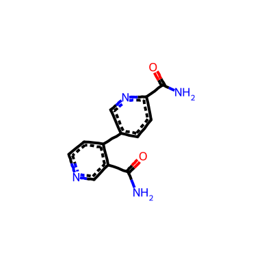 NC(=O)c1ccc(-c2ccncc2C(N)=O)cn1